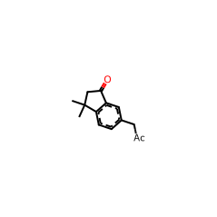 CC(=O)Cc1ccc2c(c1)C(=O)CC2(C)C